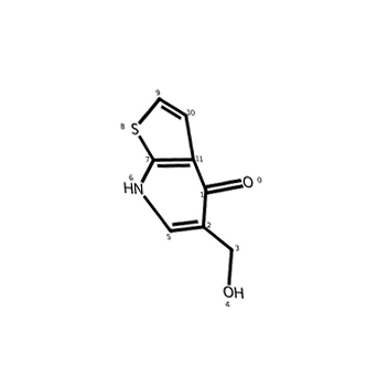 O=c1c(CO)c[nH]c2sccc12